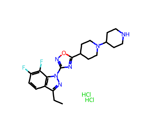 CCc1nn(-c2noc(C3CCN(C4CCNCC4)CC3)n2)c2c(F)c(F)ccc12.Cl.Cl